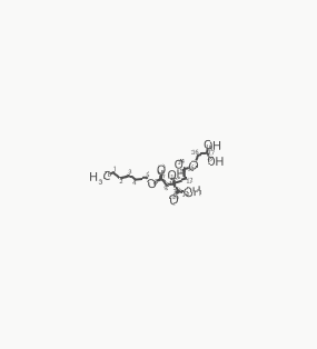 CCCCCCOC(=O)CC(O)(CC(=O)OCC(O)O)C(=O)O